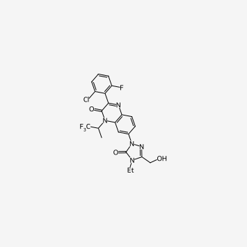 CCn1c(CO)nn(-c2ccc3nc(-c4c(F)cccc4Cl)c(=O)n(C(C)C(F)(F)F)c3c2)c1=O